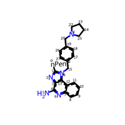 CCCCCc1nc2c(N)nc3ccccc3c2n1Cc1ccc(CN2CCCC2)cc1